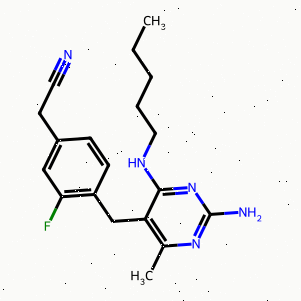 CCCCCNc1nc(N)nc(C)c1Cc1ccc(CC#N)cc1F